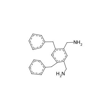 NCc1cc(CN)c(Cc2ccccc2)cc1Cc1ccccc1